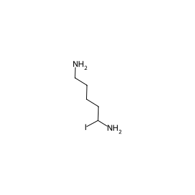 NCCCCC(N)I